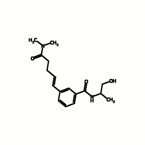 CC(CO)NC(=O)c1cccc(C=CCCC(=O)N(C)C)c1